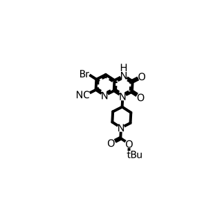 CC(C)(C)OC(=O)N1CCC(n2c(=O)c(=O)[nH]c3cc(Br)c(C#N)nc32)CC1